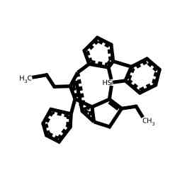 CCCc1c2cc3c(c1-c1ccccc1)C(=C(CC)[CH]3)[SiH]1c3ccccc3-c3cccc-2c31